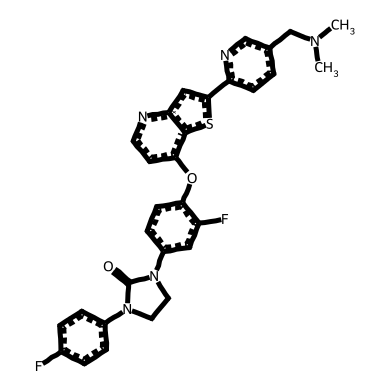 CN(C)Cc1ccc(-c2cc3nccc(Oc4ccc(N5CCN(c6ccc(F)cc6)C5=O)cc4F)c3s2)nc1